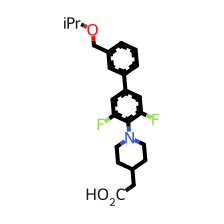 CC(C)OCc1cccc(-c2cc(F)c(N3CCC(CC(=O)O)CC3)c(F)c2)c1